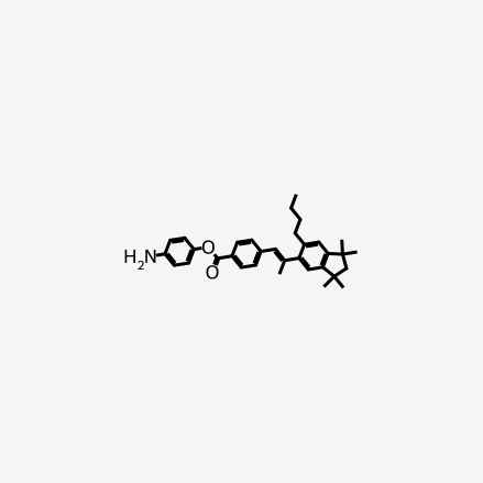 CCCCc1cc2c(cc1C(C)=Cc1ccc(C(=O)Oc3ccc(N)cc3)cc1)C(C)(C)CC2(C)C